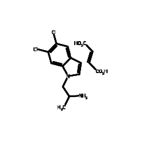 CC(N)Cn1ccc2cc(Cl)c(Cl)cc21.O=C(O)/C=C/C(=O)O